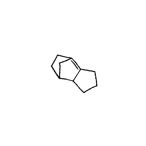 C1CC2=C3CCC(C3)C2C1